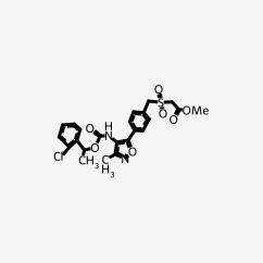 COC(=O)CS(=O)(=O)Cc1ccc(-c2onc(C)c2NC(=O)OC(C)c2ccccc2Cl)cc1